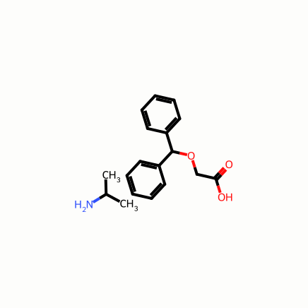 CC(C)N.O=C(O)COC(c1ccccc1)c1ccccc1